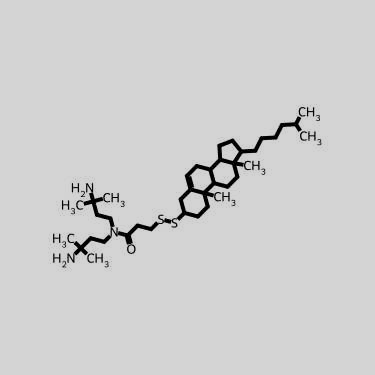 CC(C)CCCCC1CCC2C3CC=C4CC(SSCCC(=O)N(CCC(C)(C)N)CCC(C)(C)N)CCC4(C)C3CCC12C